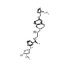 CC(=O)N1CCC(Nc2cc(C(=O)NC[C@H](O)CN3CCc4cc(OCc5ocnc5C)ccc4C3)ncn2)C[C@H]1C